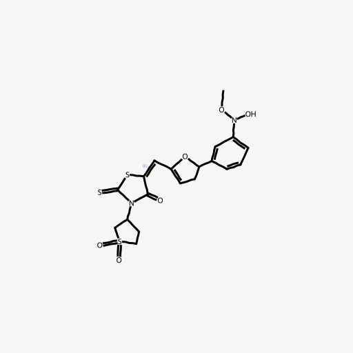 CON(O)c1cccc(C2CC=C(/C=C3/SC(=S)N(C4CCS(=O)(=O)C4)C3=O)O2)c1